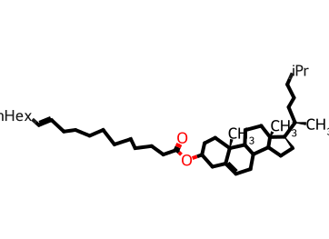 CCCCCC/C=C/CCCCCCCCCC(=O)OC1CC[C@@]2(C)C(=CCC3C2CC[C@@]2(C)C3CC[C@@H]2[C@H](C)CCCC(C)C)C1